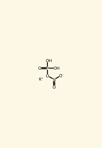 O=[Si]([O-])OP(=O)(O)O.[K+]